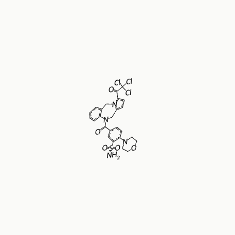 NS(=O)(=O)c1cc(C(=O)N2Cc3ccc(C(=O)C(Cl)(Cl)Cl)n3Cc3ccccc32)ccc1N1CCOCC1